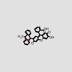 CC12OOC(c3cc4c(-c5ccccc5C(=O)O)c5cc(Cl)c(O)cc5oc-4cc3=O)(c3ccccc31)c1ccccc12